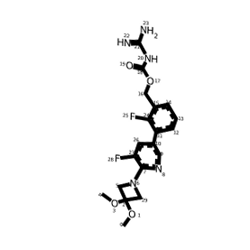 COC1(OC)CN(c2ncc(-c3cccc(COC(=O)NC(=N)N)c3F)cc2F)C1